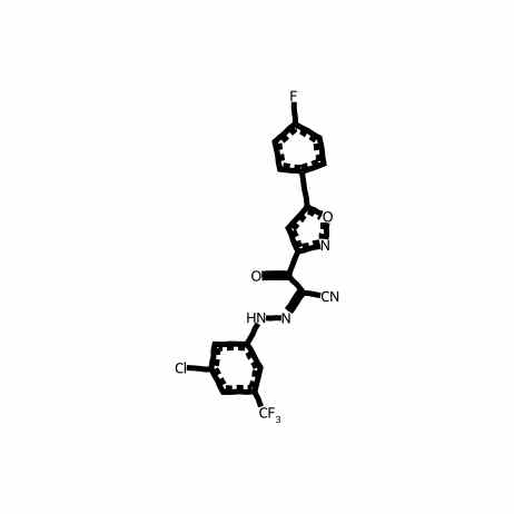 N#CC(=NNc1cc(Cl)cc(C(F)(F)F)c1)C(=O)c1cc(-c2ccc(F)cc2)on1